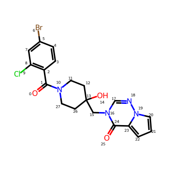 O=C(c1ccc(Br)cc1Cl)N1CCC(O)(Cn2cnn3cccc3c2=O)CC1